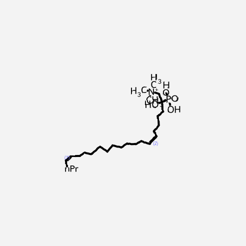 CCC/C=C\CCCCCCCCCC/C=C\CCCCC(O)(C[N+](C)(C)C)P(=O)(O)O